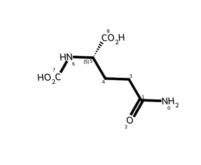 NC(=O)CC[C@H](NC(=O)O)C(=O)O